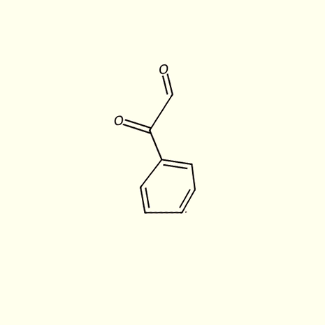 O=CC(=O)c1cc[c]cc1